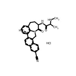 CNC(C)C(=O)NC1CCc2ccccc2N(Cc2c(OC)ccc3cc(C#N)ccc23)C1=O.Cl